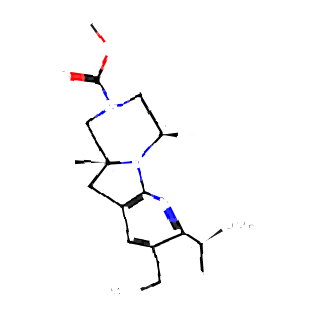 COCc1cc2c(nc1[C@H](C)OC)N1[C@H](C2)CN(C(=O)OC(C)(C)C)C[C@H]1C